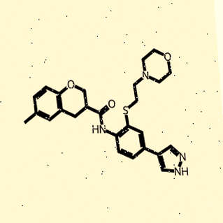 Cc1ccc2c(c1)CC(C(=O)Nc1ccc(-c3cn[nH]c3)cc1SCCN1CCOCC1)CO2